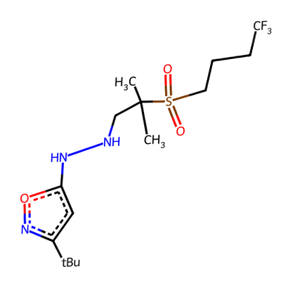 CC(C)(C)c1cc(NNCC(C)(C)S(=O)(=O)CCCC(F)(F)F)on1